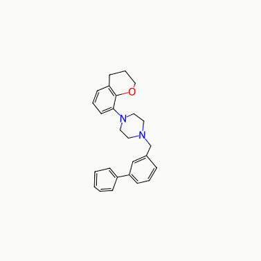 c1ccc(-c2cccc(CN3CCN(c4cccc5c4OCCC5)CC3)c2)cc1